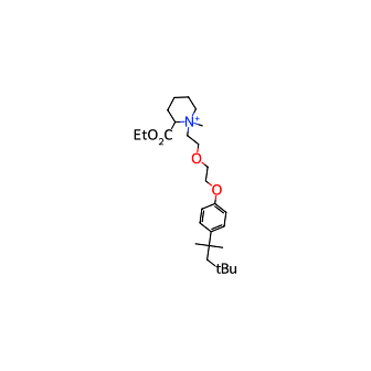 CCOC(=O)C1CCCC[N+]1(C)CCOCCOc1ccc(C(C)(C)CC(C)(C)C)cc1